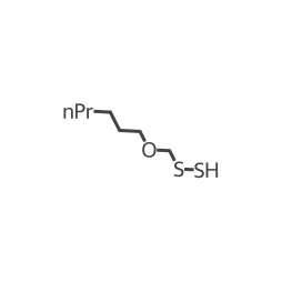 [CH2]CCCCCOCSS